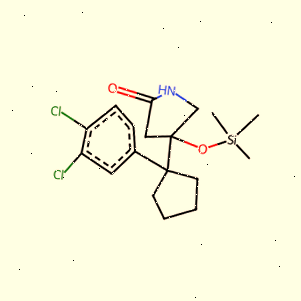 C[Si](C)(C)OC1(C2(c3ccc(Cl)c(Cl)c3)CCCC2)CNC(=O)C1